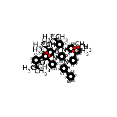 CC(C)(C)c1ccc(N2c3ccc(C(C)(C)C)cc3B3c4cc(C(C)(C)C)ccc4N(c4ccccc4-c4cccc5c4oc4c(C(C)(C)C)cccc45)c4cc(N(c5cccc(-c6ccccc6)c5)c5cccc(-c6ccccc6)c5)cc2c43)cc1